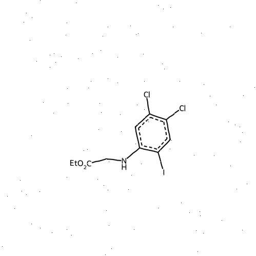 CCOC(=O)CNc1cc(Cl)c(Cl)cc1I